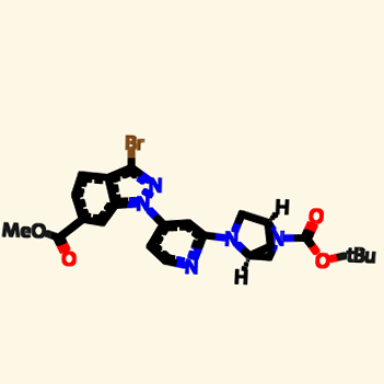 COC(=O)c1ccc2c(Br)nn(-c3ccnc(N4C[C@@H]5C[C@H]4CN5C(=O)OC(C)(C)C)c3)c2c1